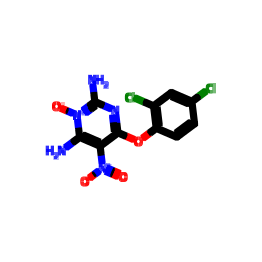 Nc1nc(Oc2ccc(Cl)cc2Cl)c([N+](=O)[O-])c(N)[n+]1[O-]